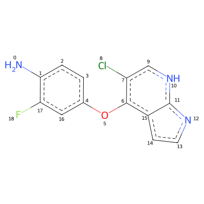 Nc1ccc(Oc2c(Cl)c[nH]c3nccc2-3)cc1F